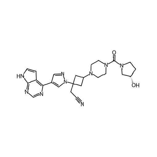 N#CCC1(n2cc(-c3ncnc4[nH]ccc34)cn2)CC(N2CCN(C(=O)N3CC[C@H](O)C3)CC2)C1